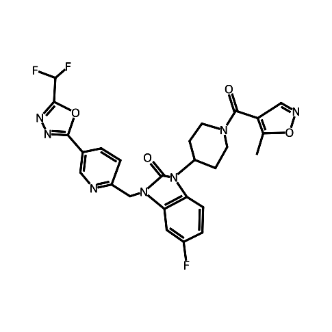 Cc1oncc1C(=O)N1CCC(n2c(=O)n(Cc3ccc(-c4nnc(C(F)F)o4)cn3)c3cc(F)ccc32)CC1